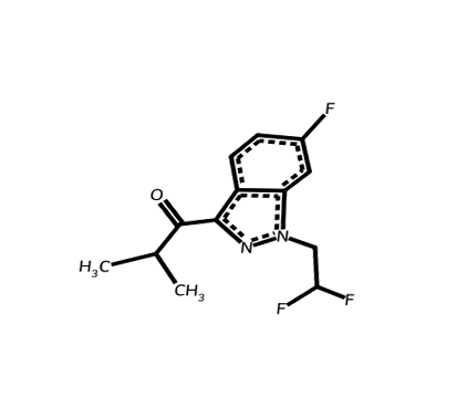 CC(C)C(=O)c1nn(CC(F)F)c2cc(F)ccc12